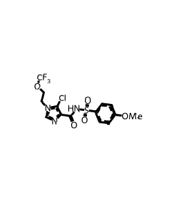 COc1ccc(S(=O)(=O)NC(=O)c2ncn(CCOC(F)(F)F)c2Cl)cc1